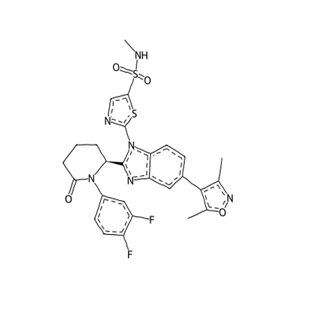 CNS(=O)(=O)c1cnc(-n2c([C@@H]3CCCC(=O)N3c3ccc(F)c(F)c3)nc3cc(-c4c(C)noc4C)ccc32)s1